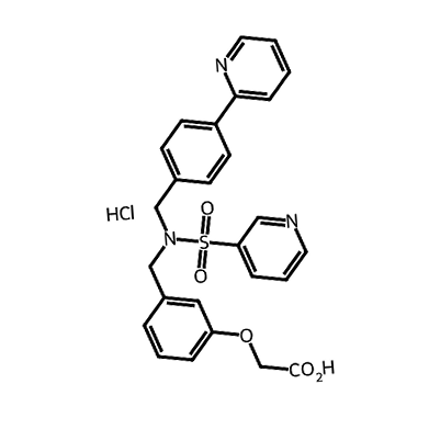 Cl.O=C(O)COc1cccc(CN(Cc2ccc(-c3ccccn3)cc2)S(=O)(=O)c2cccnc2)c1